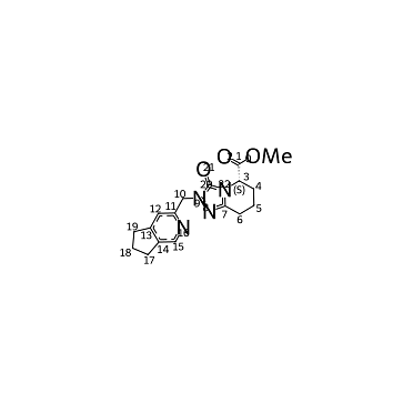 COC(=O)[C@@H]1CCCc2nn(Cc3cc4c(cn3)CCC4)c(=O)n21